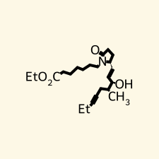 CCC#CC[C@H](C)[C@H](O)/C=C/[C@H]1CCC(=O)N1CCCCCCC(=O)OCC